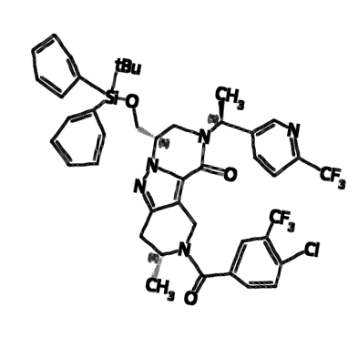 C[C@@H]1Cc2nn3c(c2CN1C(=O)c1ccc(Cl)c(C(F)(F)F)c1)C(=O)N([C@@H](C)c1ccc(C(F)(F)F)nc1)C[C@H]3CO[Si](c1ccccc1)(c1ccccc1)C(C)(C)C